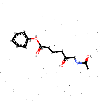 CC(=O)NCC(=O)CCCC(=O)Oc1ccccc1